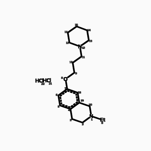 CCN1CCc2ccc(OCCCN3CCCCC3)cc2C1.Cl.Cl